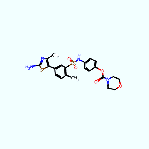 Cc1ccc(-c2sc(N)nc2C)cc1S(=O)(=O)Nc1ccc(OC(=O)N2CCOCC2)cc1